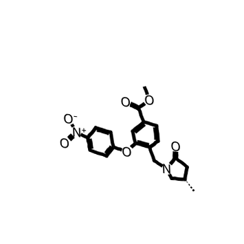 COC(=O)c1ccc(CN2C[C@@H](C)CC2=O)c(Oc2ccc([N+](=O)[O-])cc2)c1